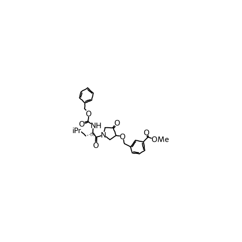 COC(=O)c1cccc(COC2CN(C(=O)[C@H](CC(C)C)NC(=O)OCc3ccccc3)CC2=O)c1